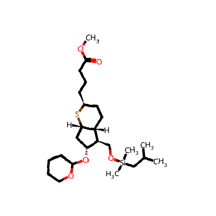 COC(=O)CCC[C@H]1CC[C@@H]2[C@@H](CO[Si](C)(C)CC(C)C)[C@H](OC3CCCCO3)C[C@@H]2S1